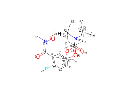 CON(C)C(=O)c1cc(O[C@H]2C[C@H]3CC[C@@H](C2)N3C(=O)OC(C)(C)C)ccc1F